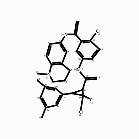 C=C(Nc1ccc2c(c1)CCCN2C)c1cc(NC(=C)C2C(c3cc(C)cc(C)c3)C2(Cl)Cl)ccc1Cl